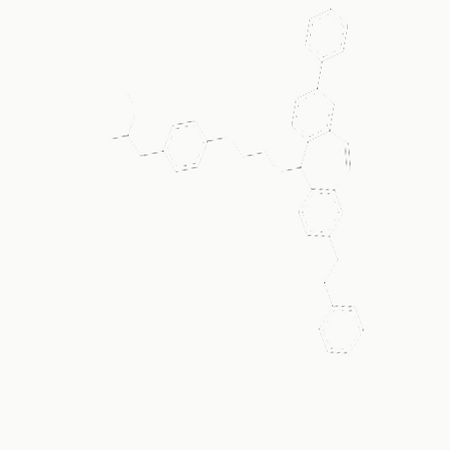 CCOC(=O)C(Cc1ccc(OCCOC2c3ccc(CCc4ccccc4)cc3C=Cc3cc(-c4ccccc4)ccc32)cc1)OCC